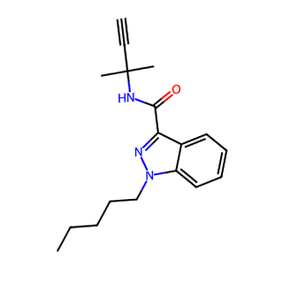 C#CC(C)(C)NC(=O)c1nn(CCCCC)c2ccccc12